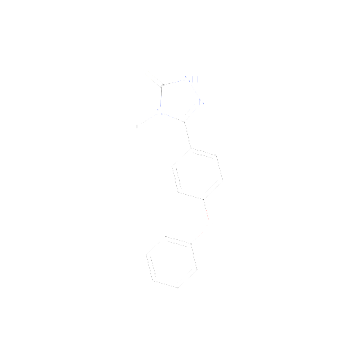 CCn1c(-c2ccc(Oc3ccccc3)cc2)n[nH]c1=S